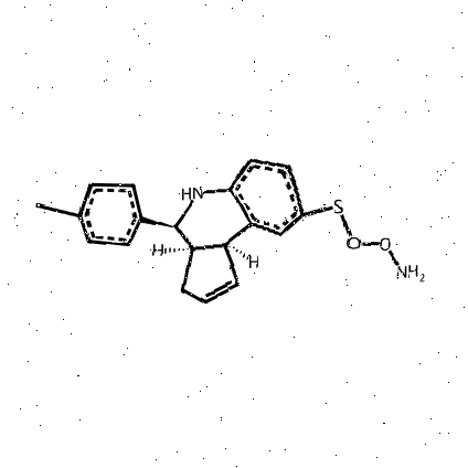 Cc1ccc([C@H]2Nc3ccc(SOON)cc3[C@H]3C=CC[C@H]32)cc1